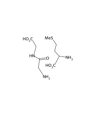 CSCCC(N)C(=O)O.NCC(=O)NCC(=O)O